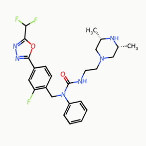 C[C@@H]1CN(CCNC(=O)N(Cc2ccc(-c3nnc(C(F)F)o3)cc2F)c2ccccc2)C[C@H](C)N1